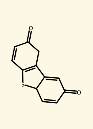 O=C1C=CC2SC3=C(CC(=O)C=C3)C2=C1